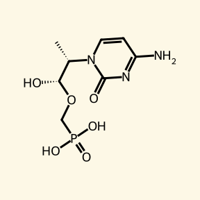 C[C@@H]([C@@H](O)OCP(=O)(O)O)n1ccc(N)nc1=O